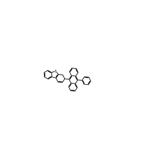 C1=CC(c2c3ccccc3c(-c3ccccc3)c3ccccc23)Cc2sc3ccccc3c21